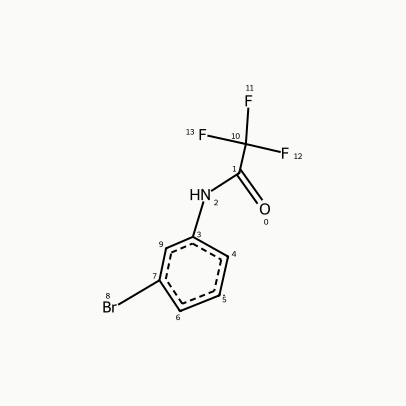 O=C(Nc1c[c]cc(Br)c1)C(F)(F)F